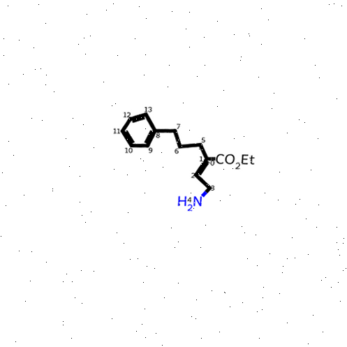 CCOC(=O)C(=CCN)CCCc1ccccc1